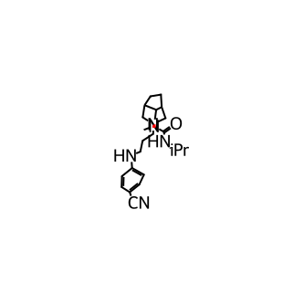 CC(C)NC(=O)N(C)C1C2CCC1CN(CCCNc1ccc(C#N)cc1)C2